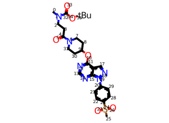 CN(CCC(=O)N1CCC(Oc2ncnc3c2cnn3-c2ccc(S(C)(=O)=O)cc2)CC1)C(=O)OC(C)(C)C